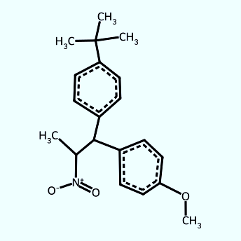 COc1ccc(C(c2ccc(C(C)(C)C)cc2)C(C)[N+](=O)[O-])cc1